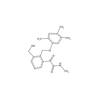 CNC(=O)C(=O)c1cccc(CO)c1COc1cc(C)c(C)cc1C